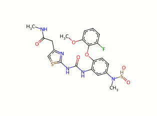 CNC(=O)Cc1csc(NC(=O)Nc2cc(N(C)[SH](=O)=O)ccc2Oc2c(F)cccc2OC)n1